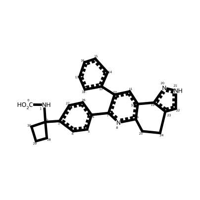 O=C(O)NC1(c2ccc(-c3nc4c(cc3-c3ccccc3)-c3n[nH]cc3CC4)cc2)CCC1